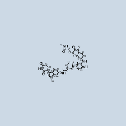 CNC(=O)COc1cc2cc(Nc3nc(N4CCC[C@H](CCNc5ccc6c(C7CCC(=O)NC7=O)nn(C)c6c5)C4)ncc3Cl)ccc2n(C)c1=O